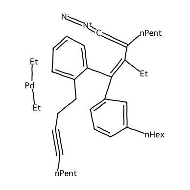 CCCCCC#CCCc1ccccc1C(=C(CC)C(=C=[N+]=[N-])CCCCC)c1cccc(CCCCCC)c1.C[CH2][Pd][CH2]C